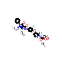 Cc1c(C(=O)Nc2ccc(Oc3ccnc(NC(=O)C(C)(C)O)c3)c(F)c2)c(=O)n(-c2ccccc2)n1C